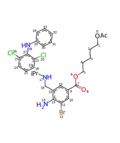 CC(=O)OCCCCCOC(=O)c1cc(Br)c(N)c(CNC(C)C)c1.Clc1cccc(Cl)c1Nc1ccccc1